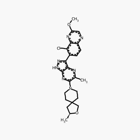 COc1cnc2ccc(-c3n[nH]c4nc(N5CCC6(CC5)CO[C@@H](C)C6)c(C)nc34)c(Cl)c2n1